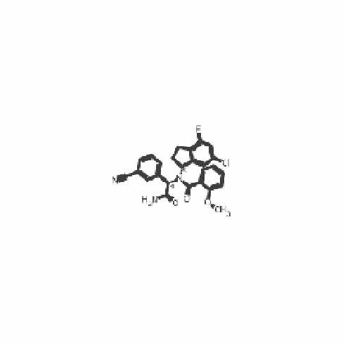 COc1ccccc1C(=O)N([C@@H]1CCc2c(F)cc(Cl)cc21)[C@@H](C(N)=O)c1cccc(C#N)c1